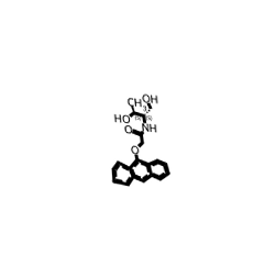 C[C@H](O)[C@H](CO)NC(=O)COc1c2ccccc2cc2ccccc12